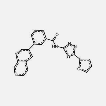 O=C(Nc1nnc(-c2ccco2)o1)c1cccc(-c2cnc3ccccc3c2)c1